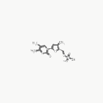 Cc1cn([C@H]2CC(C)[C@@H](COP(=O)(O)S)O2)c(=O)nc1N